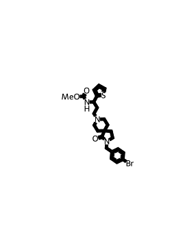 COC(=O)NC(CCN1CCC2(CC1)CCN(Cc1ccc(Br)cc1)C2=O)c1cccs1